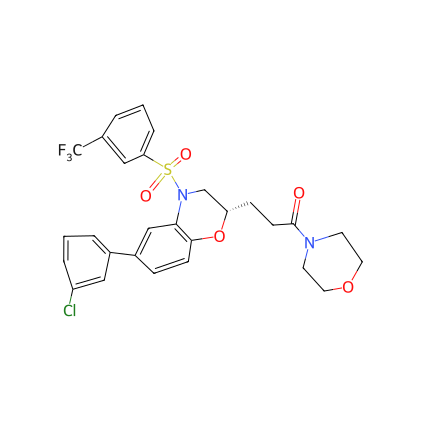 O=C(CC[C@H]1CN(S(=O)(=O)c2cccc(C(F)(F)F)c2)c2cc(-c3cccc(Cl)c3)ccc2O1)N1CCOCC1